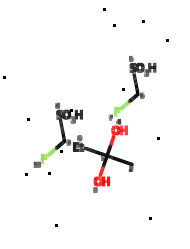 CCC(C)(O)O.O=S(=O)(O)CF.O=S(=O)(O)CF